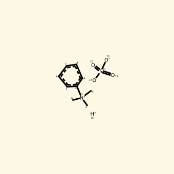 C[N+](C)(C)c1ccccc1.O=S(=O)([O-])[O-].[H+]